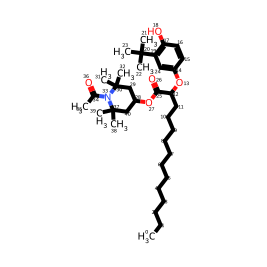 CCCCCCCCCCCCC(Oc1ccc(O)c(C(C)(C)C)c1)C(=O)OC1CC(C)(C)N(C(C)=O)C(C)(C)C1